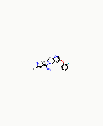 CC(/C=C(\N)C#N)=C(/N)N1CCc2ncc(Oc3ccccc3F)cc2C1